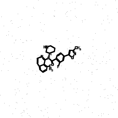 Cc1cc(-c2ccc(C(=O)N(c3nccc4cccc(C)c34)[C@@H]3CCCNC3)c(F)c2)on1